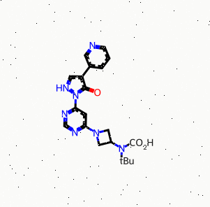 CC(C)(C)N(C(=O)O)C1CN(c2cc(-n3[nH]cc(-c4cccnc4)c3=O)ncn2)C1